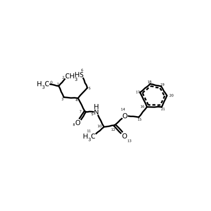 CC(C)CC(CS)C(=O)NC(C)C(=O)OCc1ccccc1